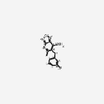 Cc1nc2nonc2c(N)c1Cc1cccc(F)c1